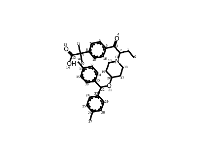 CCC(C(=O)c1ccc(C(C)(C)C(=O)O)cc1)N1CCC(OC(c2ccc(C)cc2)c2ccc(C)cc2)CC1